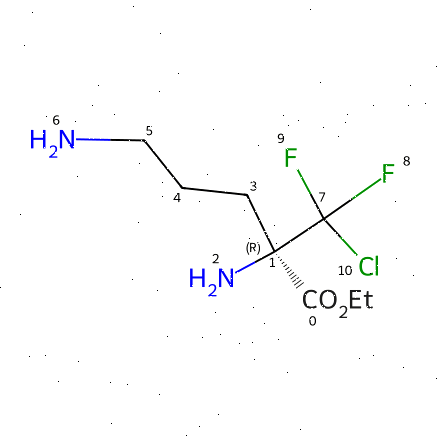 CCOC(=O)[C@](N)(CCCN)C(F)(F)Cl